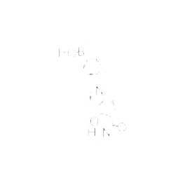 COc1c(C(N)=O)ccc2c1ccn2Cc1ccc(B(C)O)cc1